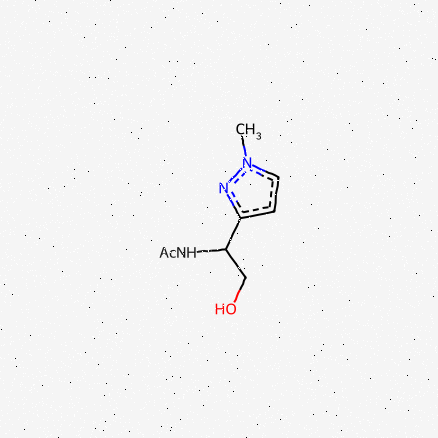 CC(=O)NC(CO)c1ccn(C)n1